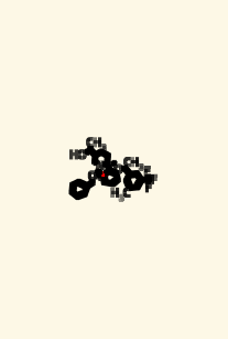 Cc1cc([C@@H](C)OC[C@@]2(c3ccccc3)CCC(C(C)O)CN2C(=O)OCc2ccccc2)cc(C(F)(F)F)c1